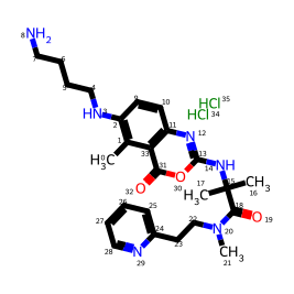 Cc1c(NCCCCN)ccc2nc(NC(C)(C)C(=O)N(C)CCc3ccccn3)oc(=O)c12.Cl.Cl